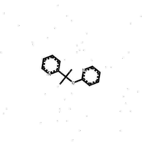 CC(C)(Oc1[c]cccn1)c1ccccn1